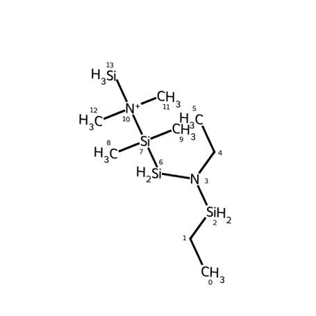 CC[SiH2]N(CC)[SiH2][Si](C)(C)[N+](C)(C)[SiH3]